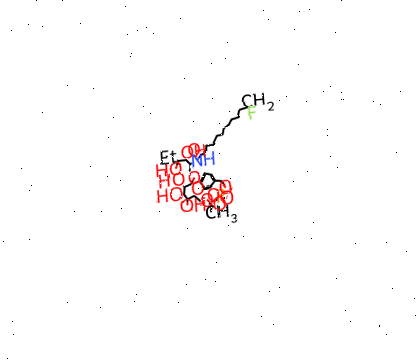 C=C(F)CCCCCCCCCCC(=O)N[C@@H](COC1OC(COC(C)OP2(=O)OCc3ccccc3O2)C(O)C(O)C1O)[C@H](O)[C@H](O)CC